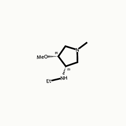 CCN[C@H]1CN(C)C[C@H]1OC